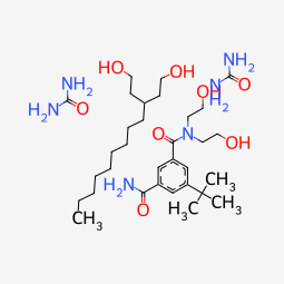 CC(C)(C)c1cc(C(N)=O)cc(C(=O)N(CCO)CCO)c1.CCCCCCCCCC(CCO)CCO.NC(N)=O.NC(N)=O